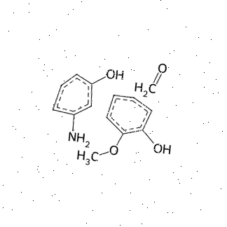 C=O.COc1ccccc1O.Nc1cccc(O)c1